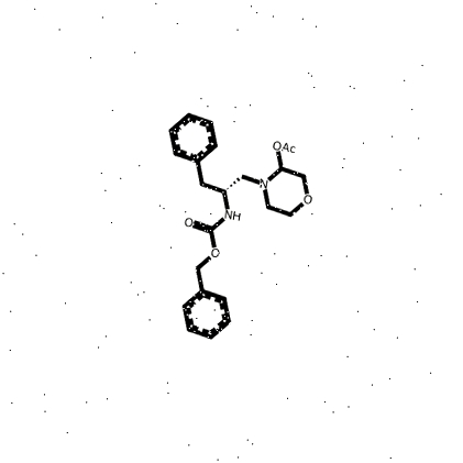 CC(=O)OC1COCCN1C[C@@H](Cc1ccccc1)NC(=O)OCc1ccccc1